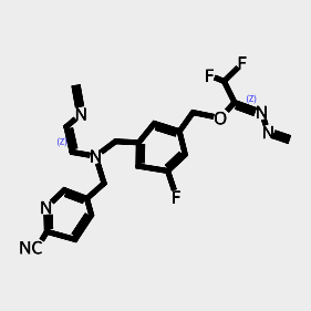 C=N/C=C\N(Cc1ccc(C#N)nc1)Cc1cc(F)cc(CO/C(=N\N=C)C(F)F)c1